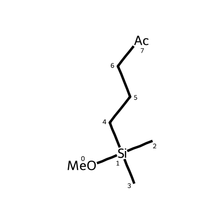 CO[Si](C)(C)CCCC(C)=O